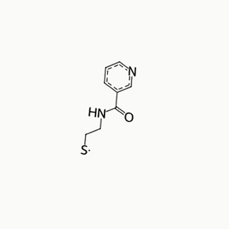 O=C(NCC[S])c1cccnc1